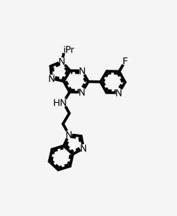 CC(C)n1cnc2c(NCCn3cnc4ccccc43)nc(-c3cncc(F)c3)nc21